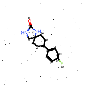 O=C1NCC2(CCC(c3ccc(F)cc3)CC2)N1